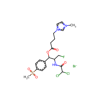 Cn1cc[n+](CCCC(=O)OC(c2ccc(S(C)(=O)=O)cc2)C(CF)NC(=O)C(Cl)Cl)c1.[Br-]